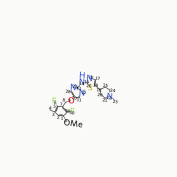 COc1cc(C)c(F)c(COc2cnc(Nc3ncc(C4CCN(C)CC4)s3)nc2)c1F